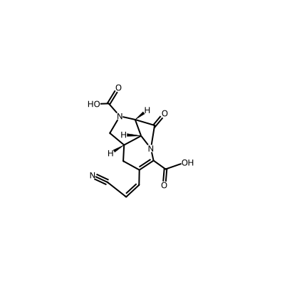 N#C/C=C\C1=C(C(=O)O)N2C(=O)[C@@H]3[C@H]2[C@H](C1)CN3C(=O)O